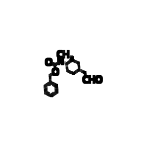 CN(C(=O)OCc1ccccc1)[C@H]1CC[C@H](CC=O)CC1